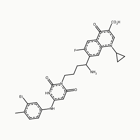 CCc1cc(Nc2cc(=O)n(CCCC(N)c3cc4c(cc3F)c(=O)c(C(=O)O)cn4C3CC3)c(=O)[nH]2)ccc1C